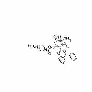 CN1CCN(C(=O)OCC2=C(C(=O)OC(c3ccccc3)c3ccccc3)N3C(=O)C(N)[C@@H]3[S+]([O-])C2)CC1